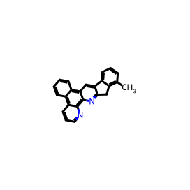 Cc1cccc2c1Cc1nc3c(cc1-2)c1ccccc1c1cccnc13